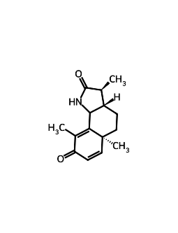 CC1=C2C3NC(=O)[C@@H](C)[C@@H]3CC[C@@]2(C)C=CC1=O